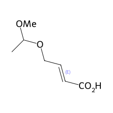 COC(C)OC/C=C/C(=O)O